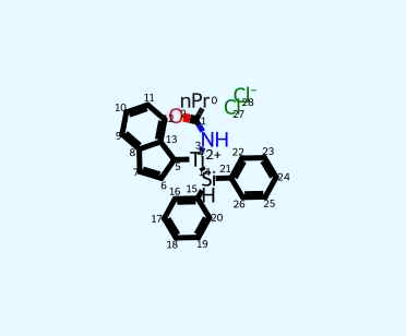 CCCC(=O)[NH][Ti+2]([CH]1C=Cc2ccccc21)[SiH](c1ccccc1)c1ccccc1.[Cl-].[Cl-]